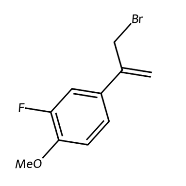 C=C(CBr)c1ccc(OC)c(F)c1